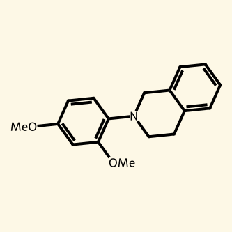 COc1ccc(N2CCc3ccccc3C2)c(OC)c1